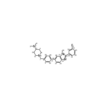 CN(C)C1CCN(Cc2ccc(-c3ccc4nc(-c5cccc(F)c5)n(C)c4c3)cc2)CC1